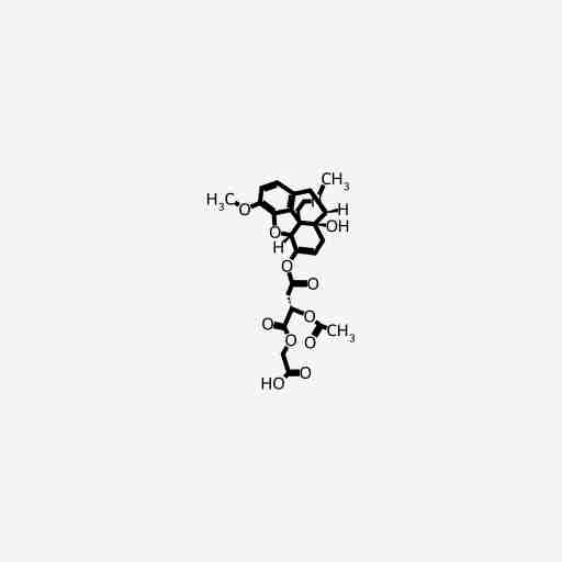 COc1ccc2c3c1O[C@H]1C(OC(=O)C[C@H](OC(C)=O)C(=O)OCC(=O)O)=CC[C@@]4(O)[C@@H](C2)N(C)CC[C@]314